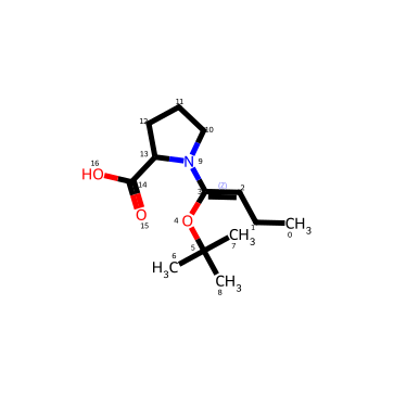 CC/C=C(\OC(C)(C)C)N1CCCC1C(=O)O